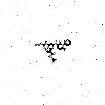 CN(C(=O)OC(C)(C)C)c1cc(Nc2ccc(F)n(-c3ccccn3)c2=O)nc2c(C(=O)N[C@@H]3C[C@@H]3F)cnn12